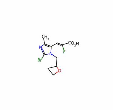 Cc1nc(Br)n(CC2CCO2)c1C=C(F)C(=O)O